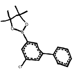 CC1(C)OB(c2cc(Cl)cc(-c3ccccc3)c2)OC1(C)C